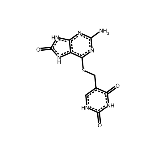 Nc1nc(SCc2c[nH]c(=O)[nH]c2=O)c2[nH]c(=O)[nH]c2n1